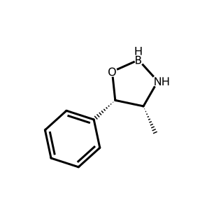 C[C@H]1NBO[C@H]1c1ccccc1